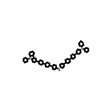 CN(c1ccc(-c2ccc(-c3ccc(-c4ccc(N(c5ccccc5)c5ccccc5)cc4)cc3)cc2)cc1)c1ccc(-c2ccc(-c3ccc(-c4ccc5c(c4)c4ccccc4n5-c4ccccc4)cc3)cc2)cc1